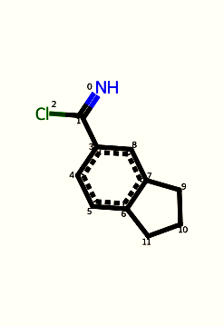 N=C(Cl)c1ccc2c(c1)CCC2